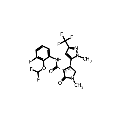 CN1C[C@H](c2cc(C(F)(F)F)nn2C)[C@@H](C(=O)Nc2cccc(F)c2OC(F)F)C1=O